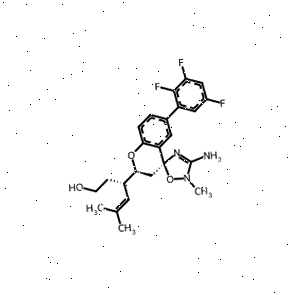 CC(C)=C[C@H](CCO)[C@@H]1C[C@@]2(N=C(N)N(C)O2)c2cc(-c3cc(F)cc(F)c3F)ccc2O1